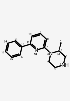 C[C@H]1CNCCN1c1cccc(-c2ccccc2)n1